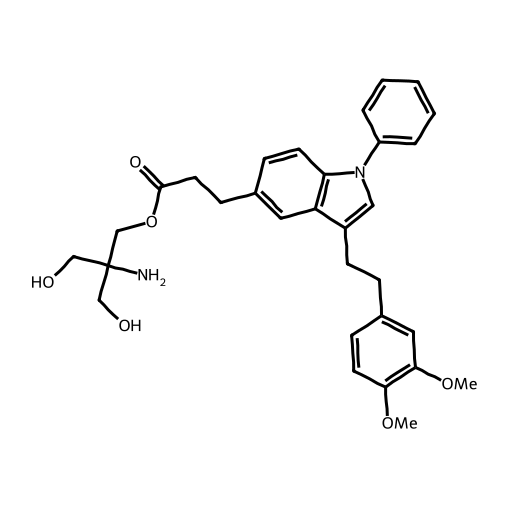 COc1ccc(CCc2cn(-c3ccccc3)c3ccc(CCC(=O)OCC(N)(CO)CO)cc23)cc1OC